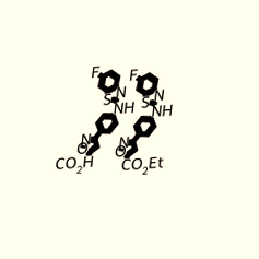 CCOC(=O)c1cc(-c2ccc(Nc3nc4ccc(F)cc4s3)cc2)no1.O=C(O)c1cc(-c2ccc(Nc3nc4ccc(F)cc4s3)cc2)no1